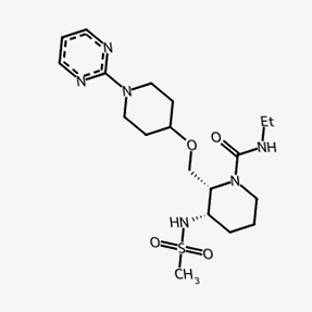 CCNC(=O)N1CCC[C@H](NS(C)(=O)=O)[C@@H]1COC1CCN(c2ncccn2)CC1